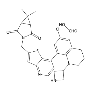 CC1(C)C2C(=O)N(Cc3cc4nccc(-c5cc(Cl)cc6c5N(C5CNC5)CCC6)c4s3)C(=O)C21.O=CO